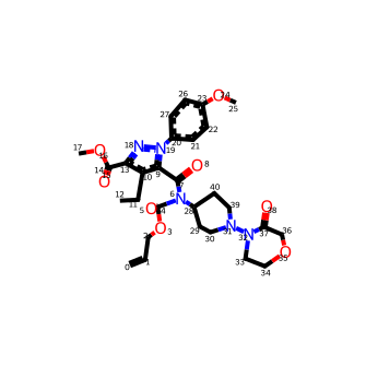 C=CCOC(=O)N(C(=O)c1c(CC)c(C(=O)OC)nn1-c1ccc(OC)cc1)C1CCN(N2CCOCC2=O)CC1